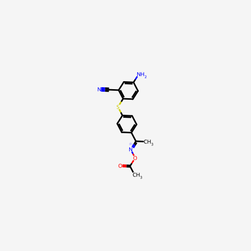 CC(=O)O/N=C(\C)c1ccc(Sc2ccc(N)cc2C#N)cc1